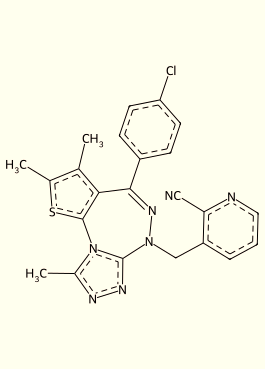 Cc1sc2c(c1C)C(c1ccc(Cl)cc1)=NN(Cc1cccnc1C#N)c1nnc(C)n1-2